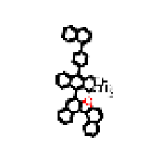 C=Cc1c(C=C)c(-c2cc3ccccc3c3c2oc2ccc4ccccc4c23)c2ccccc2c1-c1ccc(-c2cccc3ccccc23)cc1